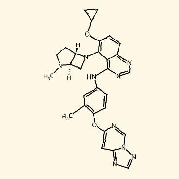 Cc1cc(Nc2ncnc3ccc(OC4CC4)c(N4C[C@@H]5[C@@H]4CCN5C)c23)ccc1Oc1cc2ncnn2cn1